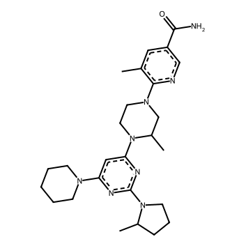 Cc1cc(C(N)=O)cnc1N1CCN(c2cc(N3CCCCC3)nc(N3CCCC3C)n2)C(C)C1